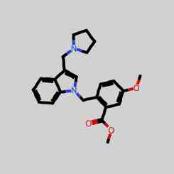 COC(=O)c1cc(OC)ccc1Cn1cc(CN2CCCC2)c2ccccc21